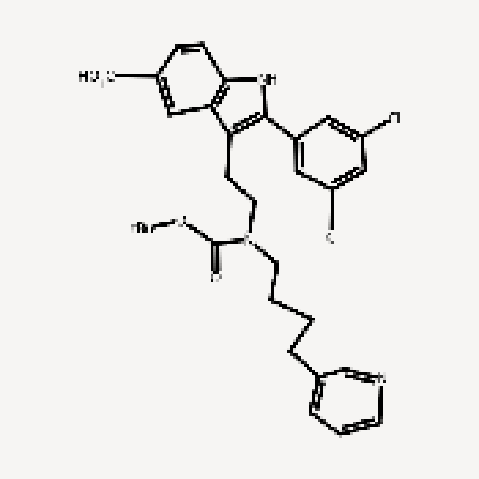 CC(C)(C)OC(=O)N(CCCCc1cccnc1)CCc1c(-c2cc(Cl)cc(Cl)c2)[nH]c2ccc(C(=O)O)cc12